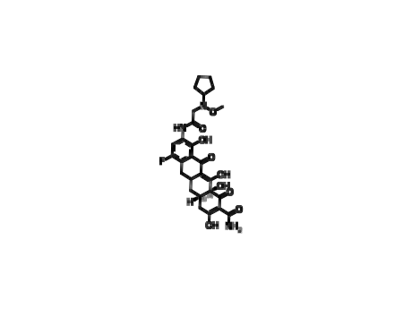 CON(CC(=O)Nc1cc(F)c2c(c1O)C(=O)C1=C(O)[C@]3(O)C(=O)C(C(N)=O)=C(O)C[C@@H]3CC1C2)C1CCCC1